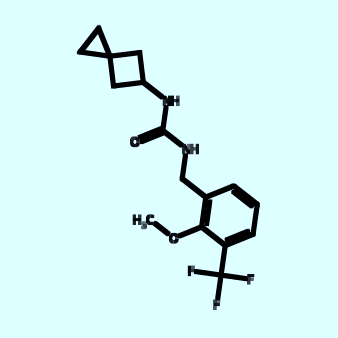 COc1c(CNC(=O)NC2CC3(CC3)C2)cccc1C(F)(F)F